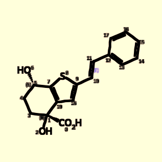 O=C(O)[C@@]1(O)CC[C@H](O)c2sc(/C=C/c3ccccc3)cc21